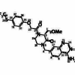 COC[C@H]1C(=O)N(Cc2ccc3c(N)ncnc3c2)CCN1C(=O)COc1ccc(SC(F)(F)F)cc1